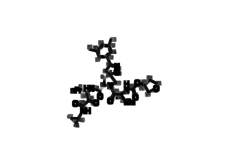 CCC[C@H](NC(=O)[C@@H]1C[C@@]2(CC(c3cc(C)cc(C)c3)=NO2)CN1C(=O)[C@@H](NC(=O)O[C@H]1CCOC1)C(C)(C)C)C(=O)C(=O)NC1CC1